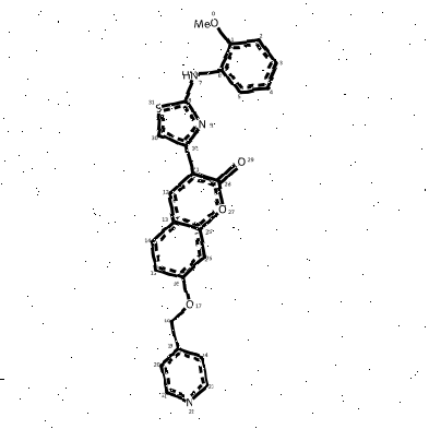 COc1ccccc1Nc1nc(-c2cc3ccc(OCc4ccncc4)cc3oc2=O)cs1